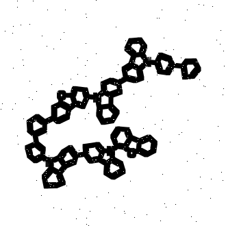 c1ccc(-c2ccc(-n3c4ccccc4c4cc(-c5ccc6c(c5)c5ccccc5n6-c5ccc6oc7cc(-c8cccc(-c9cccc(-n%10c%11ccccc%11c%11cc(-c%12ccc%13c(c%12)c%12ccccc%12n%13-c%12cccc%13c%12oc%12ccccc%12%13)ccc%11%10)c9)c8)ccc7c6c5)ccc43)cc2)cc1